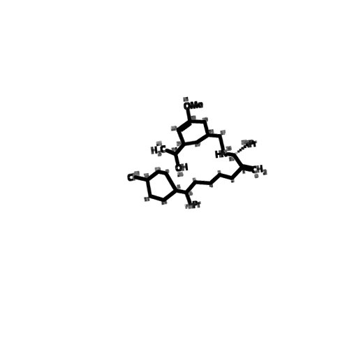 C=C(CCCCC(CCC)C1CCC(Cl)CC1)[C@H](NCC1CC(OC)=CC(C(C)O)C1)C(C)C